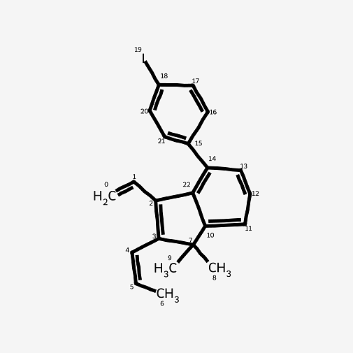 C=CC1=C(/C=C\C)C(C)(C)c2cccc(-c3ccc(I)cc3)c21